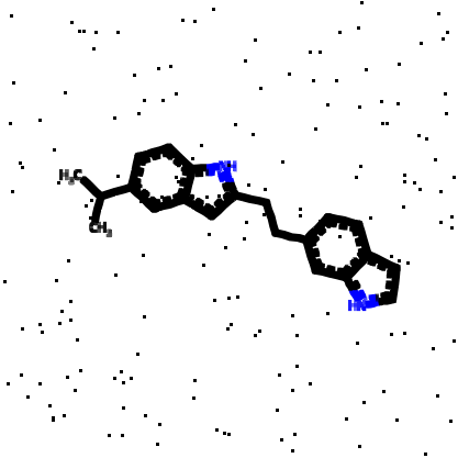 CC(C)c1ccc2[nH]c(CCc3ccc4cc[nH]c4c3)cc2c1